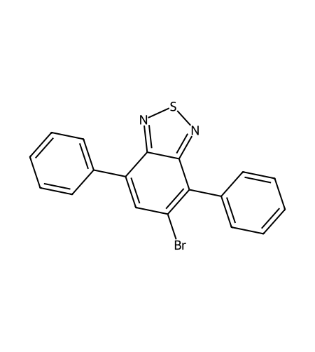 Brc1cc(-c2ccccc2)c2nsnc2c1-c1ccccc1